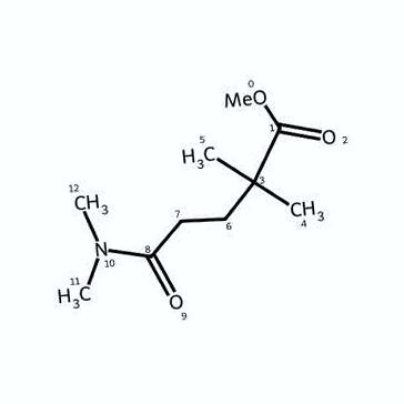 COC(=O)C(C)(C)CCC(=O)N(C)C